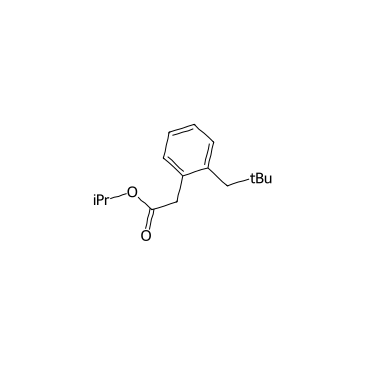 CC(C)OC(=O)Cc1ccccc1CC(C)(C)C